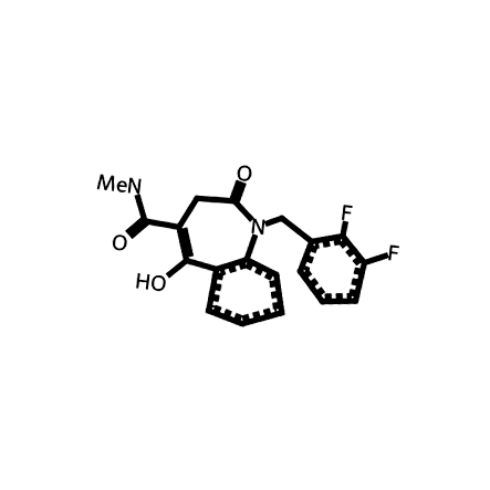 CNC(=O)C1=C(O)c2ccccc2N(Cc2cccc(F)c2F)C(=O)C1